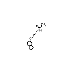 C=CC(=O)NCCCCOc1ccc2c(c1)CCC2